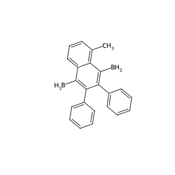 Bc1c(-c2ccccc2)c(-c2ccccc2)c(B)c2c(C)cccc12